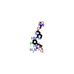 COC[C@]12C[C@H]1[C@](C)(c1cc(Nc3nccc4cc(OCc5ncon5)cnc34)cc(F)c1F)N=C(N)S2